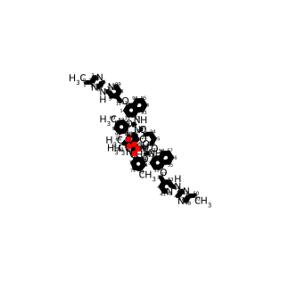 CCc1cncc(Nc2cc(COc3ccc(NC(=O)N(OC(=O)/C=C\C(=O)ON(C(=O)Nc4ccc(OCc5ccnc(Nc6cncc(CC)n6)c5)c5ccccc45)c4cc(C(C)(C)C)nn4-c4ccc(C)cc4)c4cc(C(C)(C)C)nn4-c4ccc(C)cc4)c4ccccc34)ccn2)n1